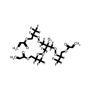 C=CC(=O)OCC(F)(OOC(F)(F)C(C)(C(F)(F)OOC(F)(COC(=O)C=C)C(F)(F)F)C(F)(F)OOC(F)(COC(=O)C=C)C(F)(F)F)C(F)(F)F